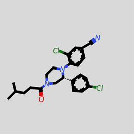 CC(C)CCC(=O)N1CCN(c2ccc(C#N)cc2Cl)[C@H](c2ccc(Cl)cc2)C1